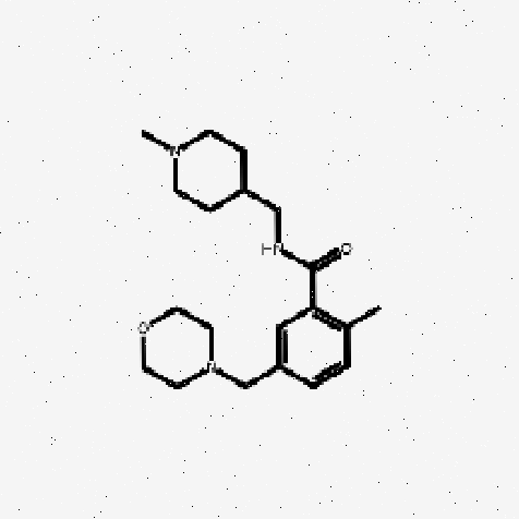 Cc1ccc(CN2CCOCC2)cc1C(=O)NCC1CCN(C)CC1